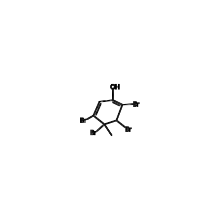 CC1(Br)C(Br)=CC(O)=C(Br)C1Br